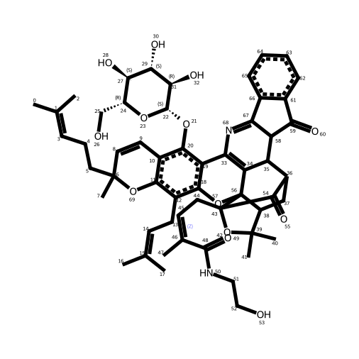 CC(C)=CCCC1(C)C=Cc2c(c(CC=C(C)C)c3c(c2O[C@@H]2O[C@H](CO)[C@@H](O)[C@H](O)[C@H]2O)C2=C4C(C5CC6C(C)(C)OC(C/C=C(/C)C(=O)NCCO)(C5=O)C46O3)C3C(=O)c4ccccc4C3=N2)O1